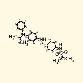 CC(C)N(c1ccccc1)c1ccc(NC[C@H]2CC[C@H](NS(=O)(=O)C(C)C)CC2)cc1